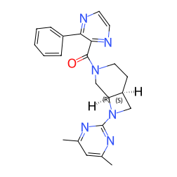 Cc1cc(C)nc(N2C[C@@H]3CCN(C(=O)c4nccnc4-c4ccccc4)C[C@@H]32)n1